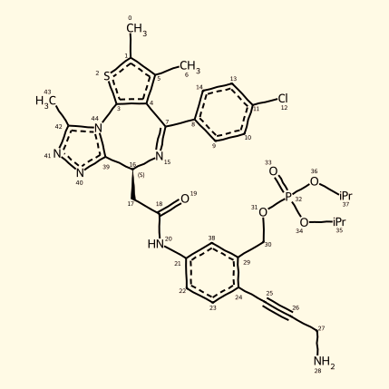 Cc1sc2c(c1C)C(c1ccc(Cl)cc1)=N[C@@H](CC(=O)Nc1ccc(C#CCN)c(COP(=O)(OC(C)C)OC(C)C)c1)c1nnc(C)n1-2